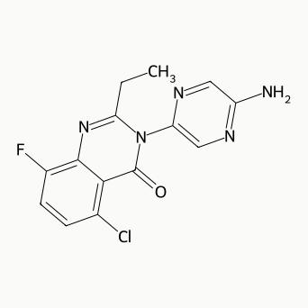 CCc1nc2c(F)ccc(Cl)c2c(=O)n1-c1cnc(N)cn1